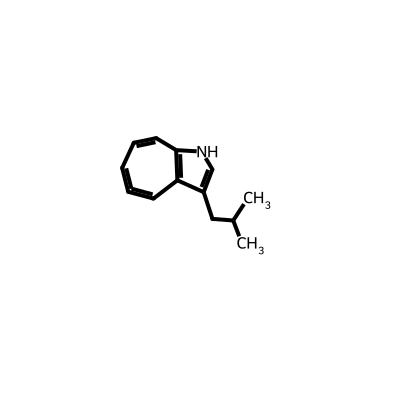 CC(C)Cc1c[nH]c2c1C=C=CC=C2